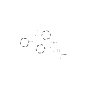 O=[N+]([O-])c1ccc(N2CCN(C3CCCC3)CC2)cc1NC(c1ccccc1)c1ccccc1